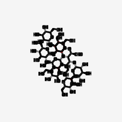 O=C[C@H](O[C@H]1O[C@H](CO)[C@@H](O[C@H]2O[C@H](CO)[C@@H](O)[C@H](O)[C@H]2O)[C@H](O[C@H]2O[C@H](CO)[C@@H](O)[C@H](O)[C@H]2O)[C@H]1O[C@H]1O[C@H](CO)[C@@H](O)[C@H](O)[C@H]1O)[C@@H](O[C@H]1O[C@H](CO)[C@@H](O)[C@H](O)[C@H]1O)[C@H](O[C@H]1O[C@H](CO)[C@@H](O)[C@H](O)[C@H]1O)[C@@H](CO[C@H]1O[C@H](CO)[C@@H](O)[C@H](O)[C@H]1O)O[C@H]1O[C@H](CO)[C@@H](O)[C@H](O)[C@H]1O